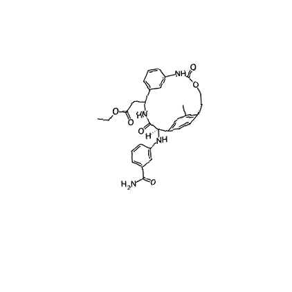 CCOC(=O)CC1NC(=O)[C@H](Nc2cccc(C(N)=O)c2)c2ccc(c(C)c2)CCOC(=O)Nc2cccc1c2